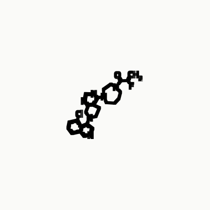 C=C(F)C(=O)N1CCCCN(c2ncnc3c2CCN(c2cncc4cccc(Cl)c24)C3)CC1